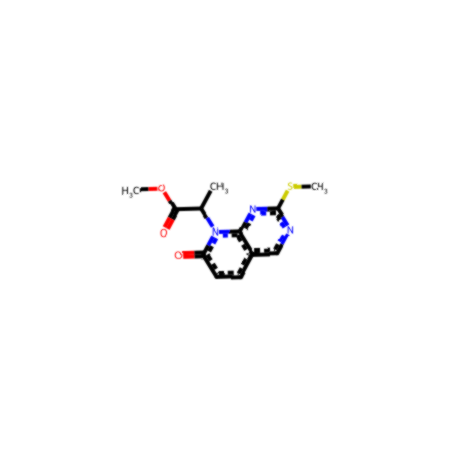 COC(=O)C(C)n1c(=O)ccc2cnc(SC)nc21